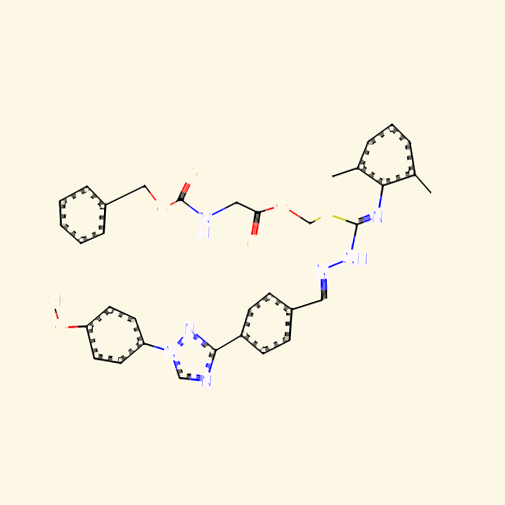 Cc1cccc(C)c1/N=C(/N/N=C/c1ccc(-c2ncn(-c3ccc(OC(F)(F)F)cc3)n2)cc1)SCOC(=O)CNC(=O)OCc1ccccc1